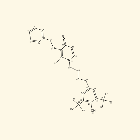 Cc1c(OCc2ccccc2)c(=O)ccn1CCCCc1cc(C(C)(C)C)c(O)c(C(C)(C)C)c1